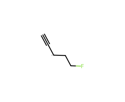 C#C[CH]CCF